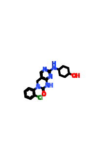 O=C1Nc2nc(NC3CCC(O)CC3)ncc2CN1c1ccccc1Cl